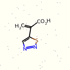 C=C(C(=O)O)c1cnns1